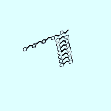 CCOCC.ClCCl.ClCCl.ClCCl.ClCCl.ClCCl.ClCCl.ClCCl.ClCCl.ClCCl.ClCCl